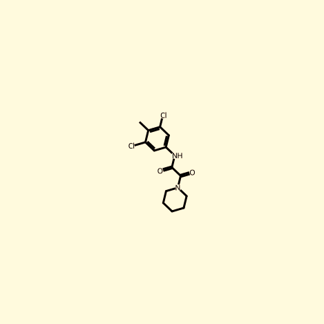 Cc1c(Cl)cc(NC(=O)C(=O)N2CCCCC2)cc1Cl